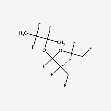 CC(F)(F)C(C)(F)OC(F)(OC(F)(F)CF)C(F)(F)CF